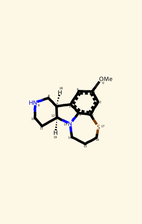 COc1cc2c3c(c1)[C@@H]1CNCC[C@@H]1N3CCCS2